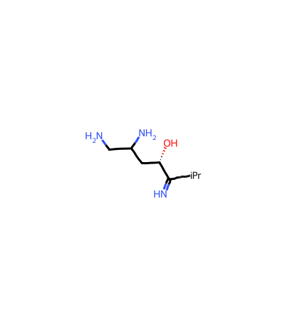 CC(C)C(=N)[C@@H](O)CC(N)CN